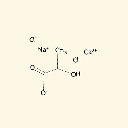 CC(O)C(=O)[O-].[Ca+2].[Cl-].[Cl-].[Na+]